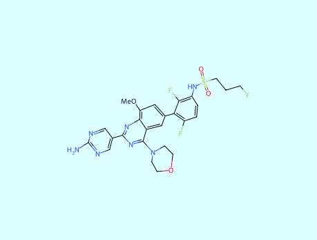 COc1cc(-c2c(F)ccc(NS(=O)(=O)CCCF)c2F)cc2c(N3CCOCC3)nc(-c3cnc(N)nc3)nc12